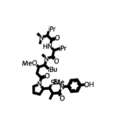 CCC(C)C(C(CC(=O)N1CCCC1C(SC)C(C)C(=O)N(CC)c1ccc(O)cc1)OC)N(C)C(=O)C(NC(=O)C(C(C)C)N(C)C)C(C)C